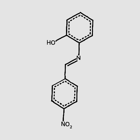 O=[N+]([O-])c1ccc(/C=N/c2ccccc2O)cc1